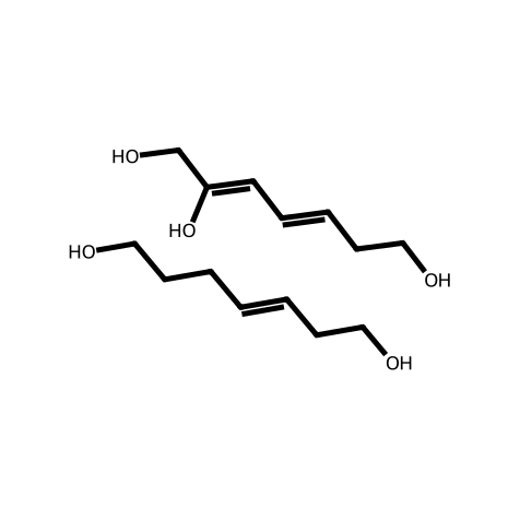 OCCC=CC=C(O)CO.OCCC=CCCCO